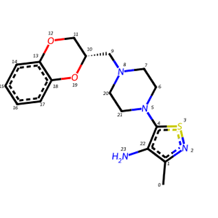 Cc1nsc(N2CCN(C[C@H]3COc4ccccc4O3)CC2)c1N